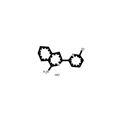 CCc1cccc(-c2cc3ccccc3c(N)n2)n1.Cl